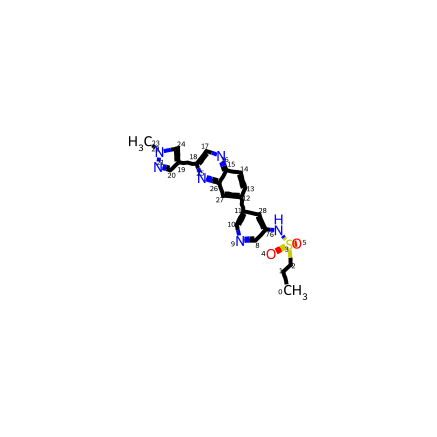 CCCS(=O)(=O)Nc1cncc(-c2ccc3ncc(-c4cnn(C)c4)nc3c2)c1